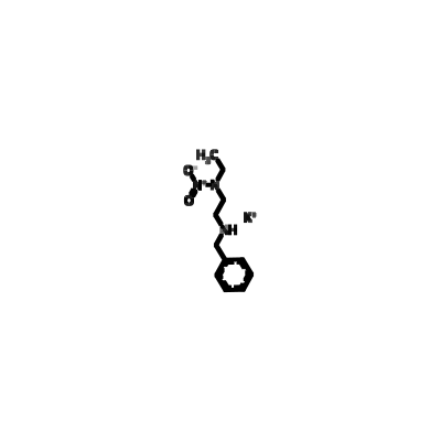 CCN(CCNCc1ccccc1)[N+](=O)[O-].[K+]